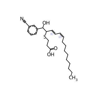 CCCCCCCCC/C=C\C=C\C(SCCC(=O)O)C(O)c1cccc(C#N)c1